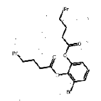 CC(C)CCCC(=O)Oc1cccc(Br)c1OC(=O)CCCC(C)C